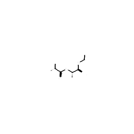 CCNC(=O)[C@@H](C)NC(=O)[C@@H](C)I